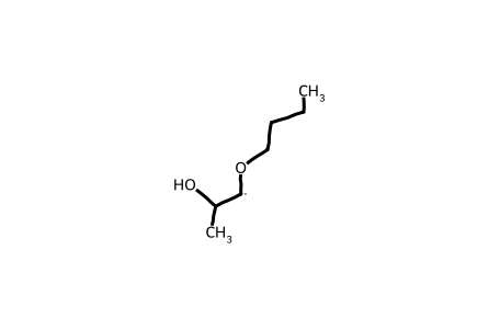 CCCCO[CH]C(C)O